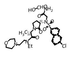 CCN(CCN1CCOCC1)C(=O)[C@H](C)N1CC[C@H](N(CC(N)=O)S(=O)(=O)c2ccc3cc(Cl)ccc3c2)C1=O.O=CO